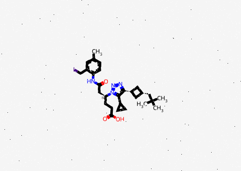 Cc1ccc(NC(=O)C[C@H](CCC(=O)O)n2nnc([C@H]3C[C@@H](CC(C)(C)C)C3)c2C2CC2)c(CI)c1